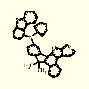 CC1(C)c2ccc(N(c3ccccc3)c3cccc4sc5ccccc5c34)cc2-c2c1c1ccccc1c1c2oc2ccccc21